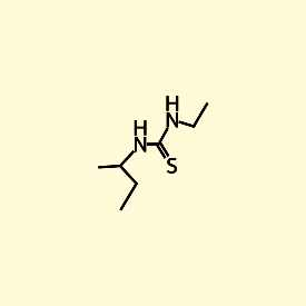 CCNC(=S)NC(C)CC